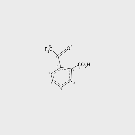 O=C(O)c1ncccc1C(=O)C(F)(F)F